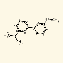 COc1cncc(-c2cccc(C(C)C)c2)c1